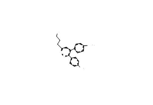 COc1ccc(-c2cc(CCCO)nnc2-c2ccc(OC)cc2)cc1